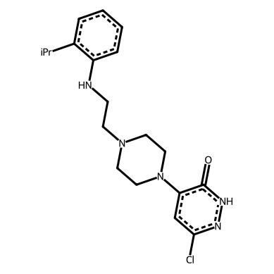 CC(C)c1ccccc1NCCN1CCN(c2cc(Cl)n[nH]c2=O)CC1